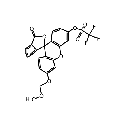 COCOc1ccc2c(c1)Oc1cc(OS(=O)(=O)C(F)(F)F)ccc1C21OC(=O)c2ccccc21